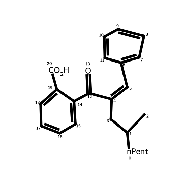 CCCCCC(C)CC(=Cc1ccccc1)C(=O)c1ccccc1C(=O)O